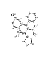 O=C(O)c1c(-c2ccccc2)c2cc(Cl)ccc2c(=O)n1C1CCCC1